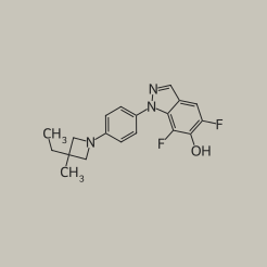 CCC1(C)CN(c2ccc(-n3ncc4cc(F)c(O)c(F)c43)cc2)C1